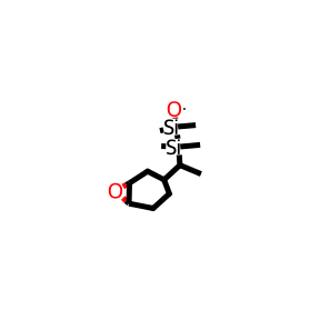 CC(C1CCC2OC2C1)[Si](C)(C)[Si](C)(C)[O]